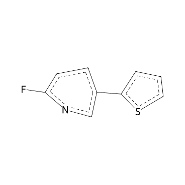 Fc1ccc(-c2cccs2)cn1